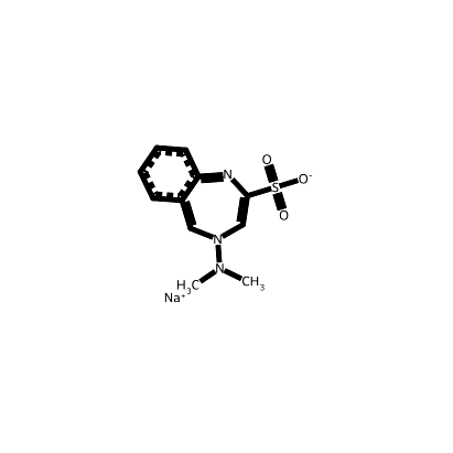 CN(C)N1C=C(S(=O)(=O)[O-])N=c2ccccc2=C1.[Na+]